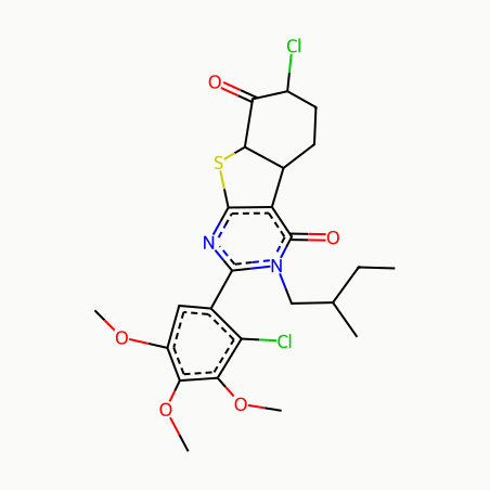 CCC(C)Cn1c(-c2cc(OC)c(OC)c(OC)c2Cl)nc2c(c1=O)C1CCC(Cl)C(=O)C1S2